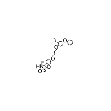 CCCc1cc(Oc2ccccc2)ccc1OCCCCOc1ccc(C2(F)NC(=O)SC2=O)cc1